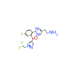 NCCc1cnc(-c2ccc(F)cc2C(=O)c2cnn(CC(F)F)c2)nc1